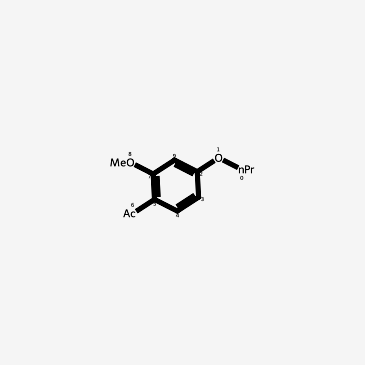 CCCOc1ccc(C(C)=O)c(OC)c1